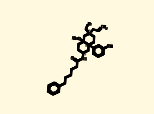 C=CC[N@@+]1(CC(C)C)CC[C@]2(c3cccc(O)c3)C[C@@H](NC(=O)CCCCCc3ccccc3)CCC2(OC)C1